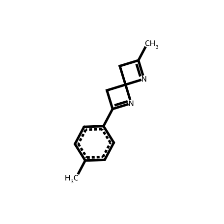 CC1=NC2(C1)CC(c1ccc(C)cc1)=N2